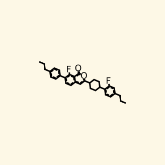 CCCc1ccc(-c2ccc3cc(C4CCC(c5ccc(CCC)cc5F)CC4)oc(=O)c3c2F)cc1